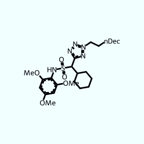 CCCCCCCCCCCCn1nnc(C(C2CCCCC2)S(=O)(=O)Nc2c(OC)cc(OC)cc2OC)n1